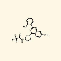 Cc1ccc2c(N3CC[C@H](NC(=O)C(F)(F)F)C3)nc(-c3ccccc3O)nc2c1